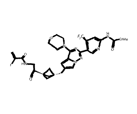 C=C(F)C(=O)NCC(=O)[C@]12C[C@@](Cc3cc4c(N5CCOCC5)nc(-c5cnc(NC(=O)OC)cc5C(F)(F)F)nn4c3)(C1)C2